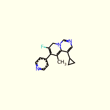 CC1=C2C(C3CC3)=CN=CN2CC(F)=C1c1ccncc1